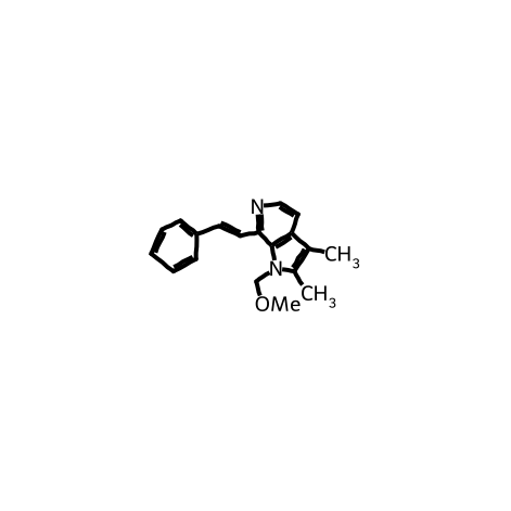 COCn1c(C)c(C)c2ccnc(C=Cc3ccccc3)c21